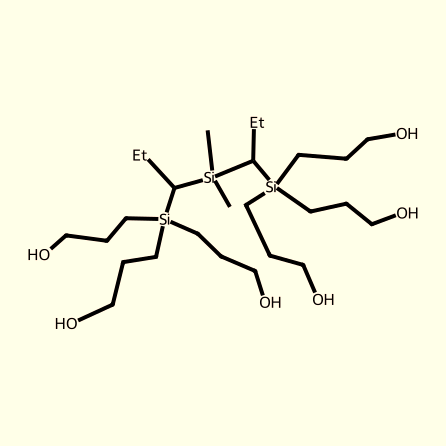 CCC([Si](CCCO)(CCCO)CCCO)[Si](C)(C)C(CC)[Si](CCCO)(CCCO)CCCO